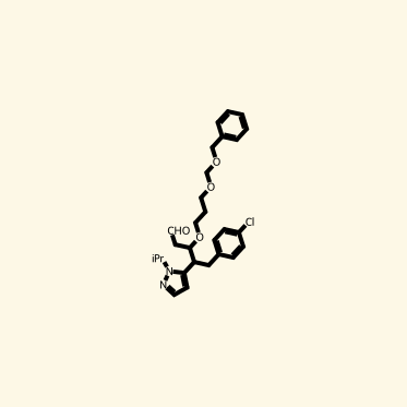 CC(C)n1nccc1C(Cc1ccc(Cl)cc1)C(CC=O)OCCCOCOCc1ccccc1